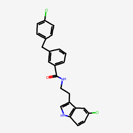 O=C(NCCc1c[nH]c2ccc(Cl)cc12)c1cccc(Cc2ccc(Cl)cc2)c1